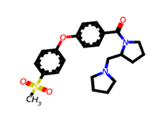 CS(=O)(=O)c1ccc(Oc2ccc(C(=O)N3CCCC3CN3CCCC3)cc2)cc1